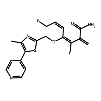 C=C(C(N)=O)/C(F)=C(\C=C/CF)OCc1nc(C)c(-c2ccncc2)s1